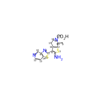 C[C@H]1c2sc(N)c(-c3nc4cnccc4s3)c2CCN1C(=O)O